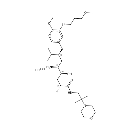 COCCCOc1cc(C[C@@H](C[C@H](N)[C@@H](O)C[C@@H](C)C(=O)NCC(C)(C)N2CCOCC2)C(C)C)ccc1OC.Cl.Cl